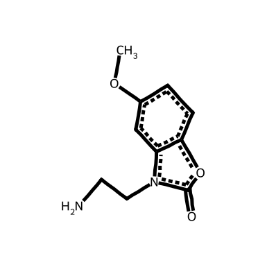 COc1ccc2oc(=O)n(CCN)c2c1